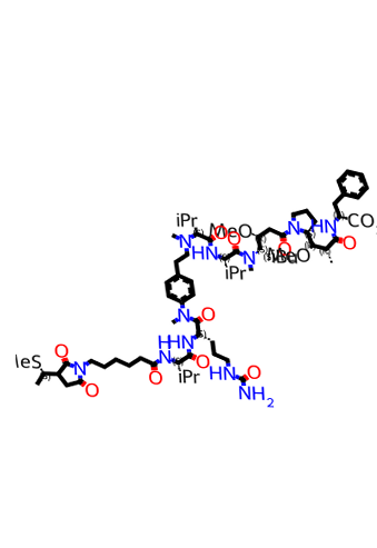 CC[C@H](C)[C@@H]([C@@H](CC(=O)N1CCC[C@H]1[C@H](OC)[C@@H](C)C(=O)N[C@@H](Cc1ccccc1)C(=O)O)OC)N(C)C(=O)[C@@H](NC(=O)[C@H](C(C)C)N(C)CCc1ccc(N(C)C(=O)[C@H](CCCNC(N)=O)NC(=O)[C@@H](NC(=O)CCCCCN2C(=O)CC([C@H](C)SC)C2=O)C(C)C)cc1)C(C)C